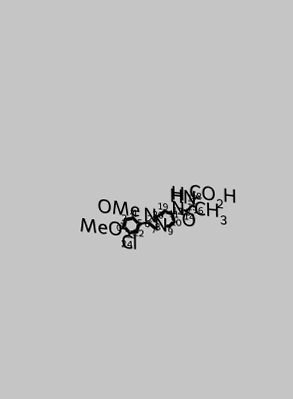 COc1cc(OC)c(-c2cn3ccc(NC(=O)C(C)NC(=O)O)cc3n2)cc1Cl